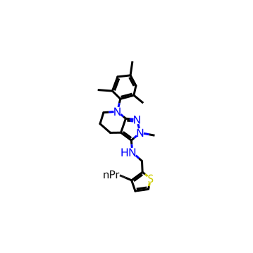 CCCc1ccsc1CNc1c2c(nn1C)N(c1c(C)cc(C)cc1C)CCC2